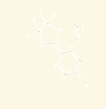 CCc1ncc(B2OC(C)(C)C(C)(C)O2)c(CC)n1.N